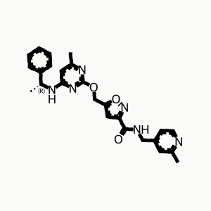 Cc1cc(CNC(=O)c2cc(COc3nc(C)cc(N[C@H](C)c4ccccc4)n3)on2)ccn1